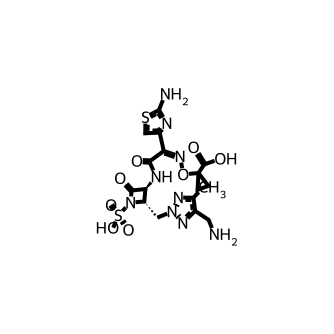 Cc1nn(C[C@H]2[C@H](NC(=O)C(=NOC3(C(=O)O)CC3)c3csc(N)n3)C(=O)N2S(=O)(=O)O)nc1CN